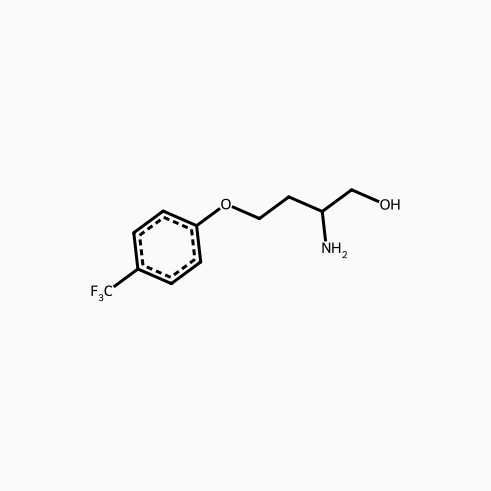 NC(CO)CCOc1ccc(C(F)(F)F)cc1